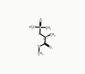 COC(=O)[C@H](C)CP(C)(C)=O